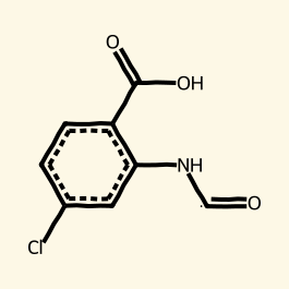 O=[C]Nc1cc(Cl)ccc1C(=O)O